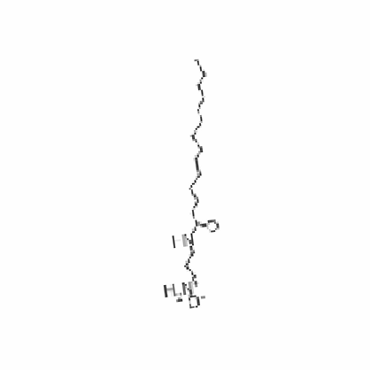 CCCCCCCCCCCCCC(=O)NCCC[NH2+][O-]